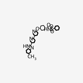 Cc1ccc2[nH]c(-c3ccc(-c4ccc(O[C@H]5CC[C@@H](C(=O)NS(=O)(=O)c6ccccc6)CC5)nc4)nc3)nc2c1